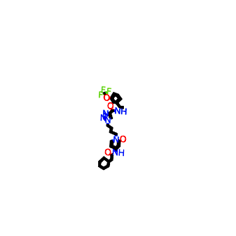 CC(NC(=O)c1cn(CCCCn2ccc(NC(=O)CC3CCCCC3)cc2=O)nn1)c1cccc(OC(F)(F)F)c1